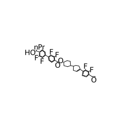 CCCC(O)c1ccc(-c2ccc(C(=O)OC3CCC(C4CC=C(c5ccc(C6CO6)c(F)c5F)CC4)CC3)c(F)c2F)c(F)c1F